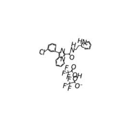 O=C(NCC[c+]1cccc[nH]1)c1nc(-c2cccc(Cl)c2)c2ccccn12.O=C(O)C(F)(F)F.O=C([O-])C(F)(F)F